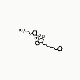 CCC(=O)N(c1ccccc1CCCCCCCCc1ccccc1)S(=O)(=O)c1cccc(SCCC(=O)O)c1